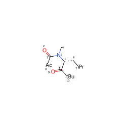 CC(=O)C(=O)N(C)[C@H](CC(C)C)C(=O)C(C)(C)C